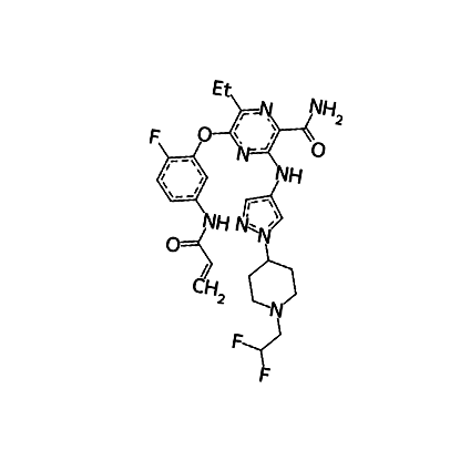 C=CC(=O)Nc1ccc(F)c(Oc2nc(Nc3cnn(C4CCN(CC(F)F)CC4)c3)c(C(N)=O)nc2CC)c1